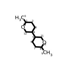 CC1CCC(C2CCC(C)OC2)CO1